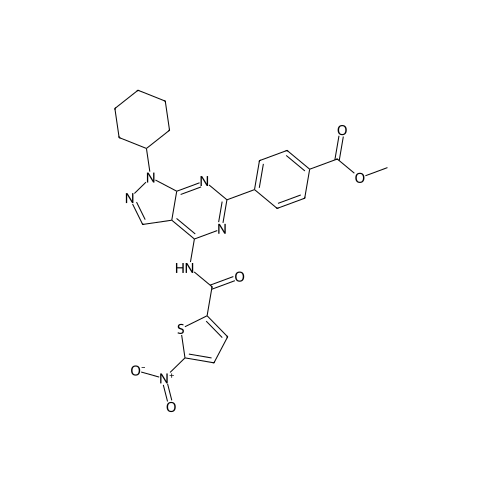 COC(=O)c1ccc(-c2nc(NC(=O)c3ccc([N+](=O)[O-])s3)c3cnn(C4CCCCC4)c3n2)cc1